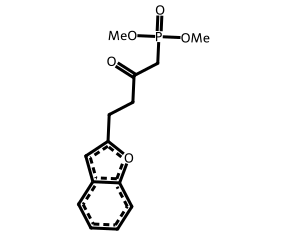 COP(=O)(CC(=O)CCc1cc2ccccc2o1)OC